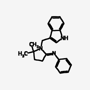 CC1(C)CCC(=Nc2ccccc2)N1Cc1c[nH]c2ccccc12